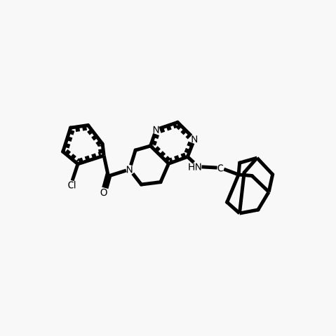 O=C(c1ccccc1Cl)N1CCc2c(ncnc2NCC23CC4CC(CC(C4)C2)C3)C1